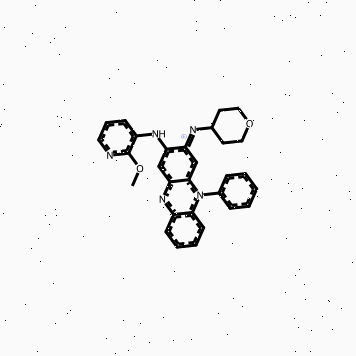 COc1ncccc1Nc1cc2nc3ccccc3n(-c3ccccc3)c-2c/c1=N\C1CCOCC1